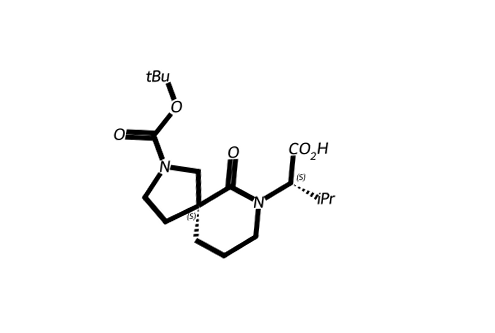 CC(C)[C@@H](C(=O)O)N1CCC[C@@]2(CCN(C(=O)OC(C)(C)C)C2)C1=O